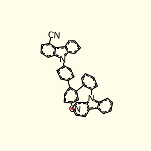 N#Cc1ccc(-c2ccc(-n3c4ccccc4c4c(C#N)cccc43)cc2)c(-c2ccccc2-n2c3ccccc3c3ccccc32)c1